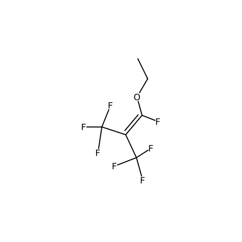 CCOC(F)=C(C(F)(F)F)C(F)(F)F